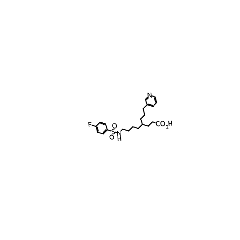 O=C(O)CCC(CCCCNS(=O)(=O)c1ccc(F)cc1)CCCc1cccnc1